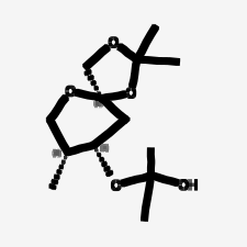 C[C@@H]1CO[C@]2(COC(C)(C)O2)C[C@@H]1OC(C)(C)O